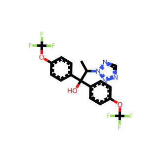 CC(n1ncnn1)C(O)(c1ccc(OC(F)(F)F)cc1)c1ccc(OC(F)(F)F)cc1